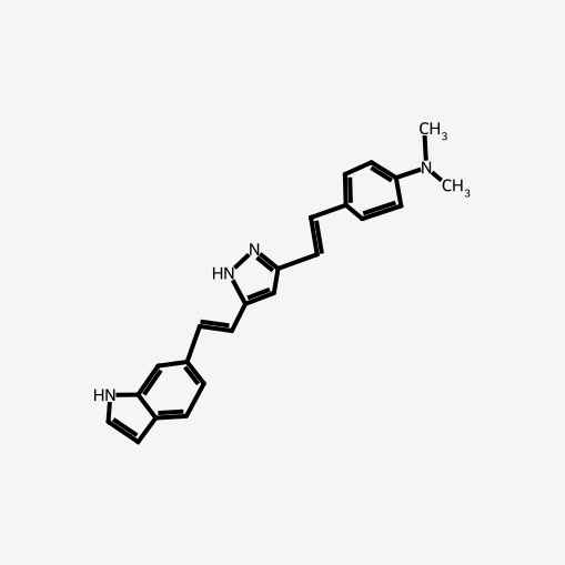 CN(C)c1ccc(/C=C/c2cc(/C=C/c3ccc4cc[nH]c4c3)[nH]n2)cc1